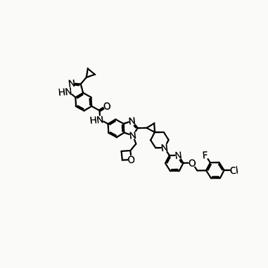 O=C(Nc1ccc2c(c1)nc(C1CC13CCN(c1cccc(OCc4ccc(Cl)cc4F)n1)CC3)n2CC1CCO1)c1ccc2[nH]nc(C3CC3)c2c1